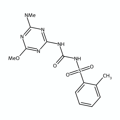 CNc1nc(NC(=O)NS(=O)(=O)c2ccccc2C)nc(OC)n1